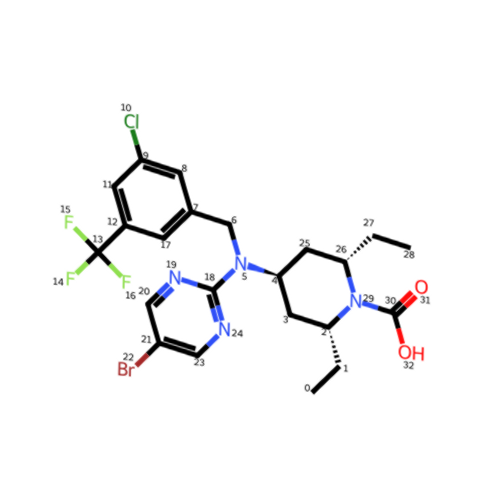 CC[C@@H]1C[C@@H](N(Cc2cc(Cl)cc(C(F)(F)F)c2)c2ncc(Br)cn2)C[C@H](CC)N1C(=O)O